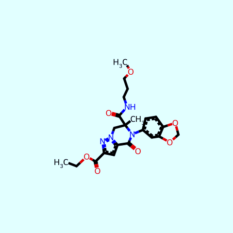 CCOC(=O)c1cc2n(n1)CC(C)(C(=O)NCCCOC)N(c1ccc3c(c1)OCO3)C2=O